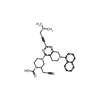 CN(C)CC#Cc1nc2c(c(N3CCN(C(=O)O)C(CC#N)C3)n1)CCN(c1cccc3ccccc13)C2